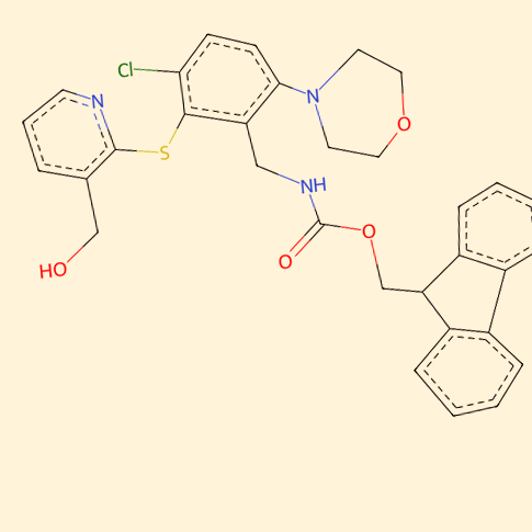 O=C(NCc1c(N2CCOCC2)ccc(Cl)c1Sc1ncccc1CO)OCC1c2ccccc2-c2ccccc21